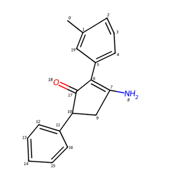 Cc1cccc(C2=C(N)CC(c3ccccc3)C2=O)c1